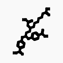 O=C(O)CCCCCCC(CCC(Oc1ccc(C(=O)O)cc1)Oc1ccc(C(=O)O)cc1)CC(=O)O